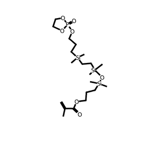 C=C(C)C(=O)OCCC[Si](C)(C)O[Si](C)(C)CC[Si](C)(C)CCCOP1(=O)OCCO1